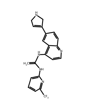 C=C(Nc1cccc(C(F)(F)F)n1)Nc1ccnc2ccc(C3=CCNC3)cc12